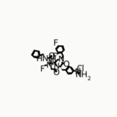 NN(Cl)c1ccc(C[C@H]2C(=O)N(Cc3ccc(F)cc3F)C[C@H]3N2C(=O)CN(CF)N3C(=O)NCc2ccccc2)cc1